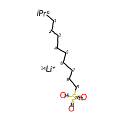 CC(C)CCCCCCCCCS(=O)(=O)[O-].[Li+]